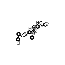 O=C(NS(=O)(=O)c1ccc(NCC2CCOCC2)c([N+](=O)[O-])c1)c1ccc(N2CCN(Cc3ccccc3-c3ccc(Cl)cc3)CC2)cc1[S+]([O-])c1ccccc1